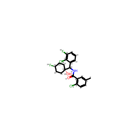 Cc1ccc(Cl)c(C(=O)NC(c2cccc(F)c2Cl)[C@]2(O)CC[C@H](F)CC2)c1